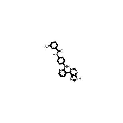 O=C(Nc1ccc(Nc2ncccc2-c2ncnc3[nH]cnc23)cc1)c1cccc(C(F)(F)F)c1